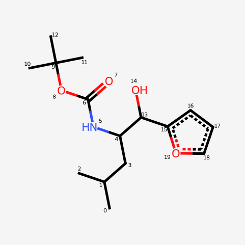 CC(C)CC(NC(=O)OC(C)(C)C)C(O)c1ccco1